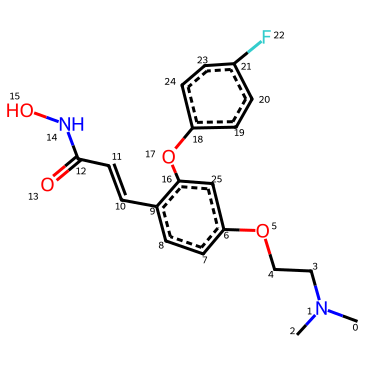 CN(C)CCOc1ccc(C=CC(=O)NO)c(Oc2ccc(F)cc2)c1